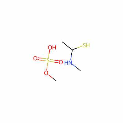 CNC(C)S.COS(=O)(=O)O